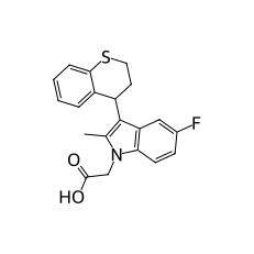 Cc1c(C2CCSc3ccccc32)c2cc(F)ccc2n1CC(=O)O